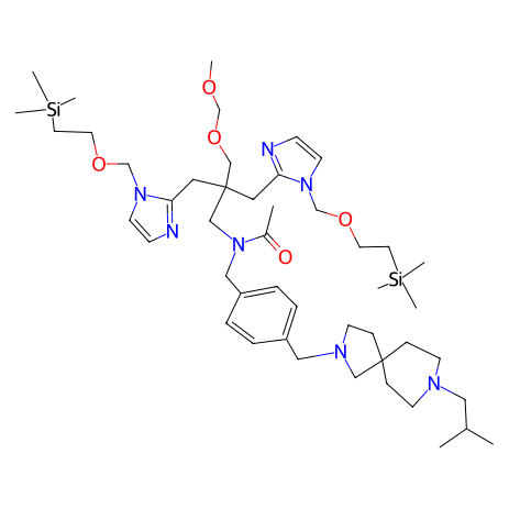 COCOCC(Cc1nccn1COCC[Si](C)(C)C)(Cc1nccn1COCC[Si](C)(C)C)CN(Cc1ccc(CN2CCC3(CCN(CC(C)C)CC3)C2)cc1)C(C)=O